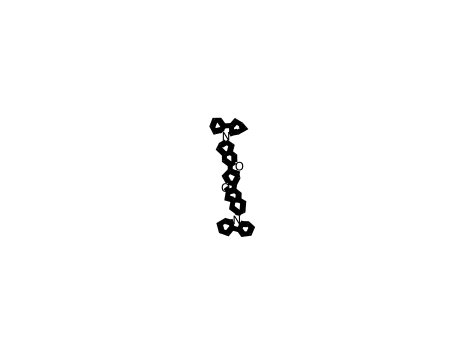 c1ccc2c(c1)c1ccccc1n2-c1ccc2cc3c(cc2c1)oc1cc2c(cc13)oc1cc3cc(-n4c5ccccc5c5ccccc54)ccc3cc12